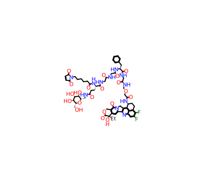 CC[C@@]1(O)C(=O)OCc2c1cc1n(c2=O)Cc2c-1nc1cc(F)c(F)c3c1c2[C@@H](NC(=O)COCNC(=O)CNC(=O)[C@H](Cc1ccccc1)NC(=O)CNC(=O)CNC(=O)[C@H](CCC(=O)NC[C@@H]1O[C@H](CO)[C@@H](O)[C@H](O)[C@H]1O)NC(=O)CCCCCN1C(=O)C=CC1=O)CC3